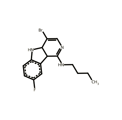 CCCCNC1=NC=C(Br)C2Nc3ccc(F)cc3C12